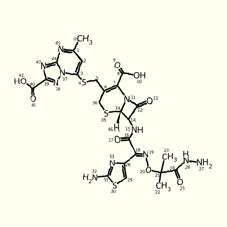 Cc1cc(SCC2=C(C(=O)O)N3C(=O)C(NC(=O)C(=NOC(C)(C)C(=O)NN)c4csc(N)n4)[C@@H]3SC2)n2nc(C(=O)O)nc2n1